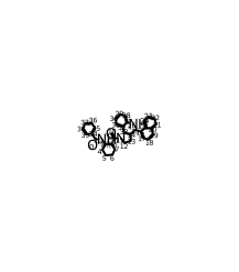 O=C(N[C@@H]1CCCC[C@@H]1C(=O)N1CCC2C(c3cccc4ccccc34)Nc3ccccc3C21)c1ccccc1